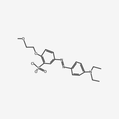 CCN(CC)c1ccc(N=Nc2ccc(OCCOC)c(S(=O)(=O)Cl)c2)cc1